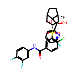 O=C(Nc1ccc(F)c(F)c1)c1ccc(Cl)c(S(=O)(=O)[C@@H]2CC3CC[C@@H](C2)[C@@]3(O)[C@@H](O)c2cccc(F)n2)c1